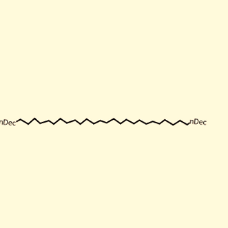 CCCCCCCCCCCCCCCCCCCCCCCCCCCCCCCCCCCCCCCCCCCCCC